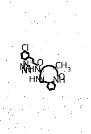 C[C@H]1CCC[C@H](NC(=O)/C=C/c2cc(Cl)ccc2-n2cnnn2)c2nc(c[nH]2)-c2ccccc2NC(=O)C1